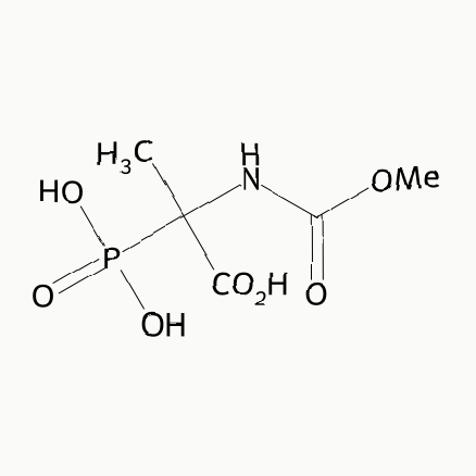 [CH2]OC(=O)NC(C)(C(=O)O)P(=O)(O)O